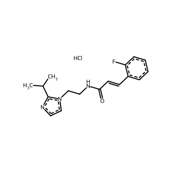 CC(C)c1nccn1CCNC(=O)/C=C/c1ccccc1F.Cl